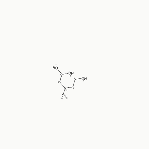 CN(CCO)CC(O)O